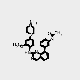 COc1cc(N2CCN(C)CC2)ccc1Nc1ncc2cccc(-c3cccc(NC(C)=O)c3)c2n1